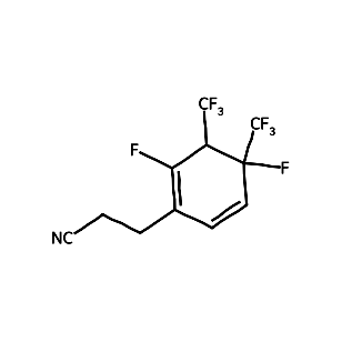 N#CCCC1=C(F)C(C(F)(F)F)C(F)(C(F)(F)F)C=C1